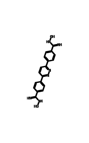 N=C(NO)c1ccc(-c2ccc(-c3ccc(C(=N)NO)cc3)nn2)cc1